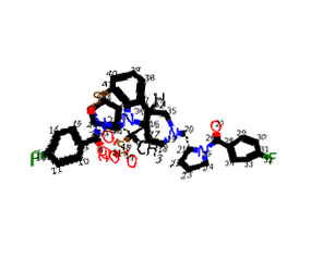 CC([C@H]1CCCN1C(=O)c1ccc(F)cc1)([C@]12CCN(C[C@H]3CCCN3C(=O)c3ccc(F)cc3)C[C@H]1c1cccc3c1N2CCCS3)S(=O)(=O)O